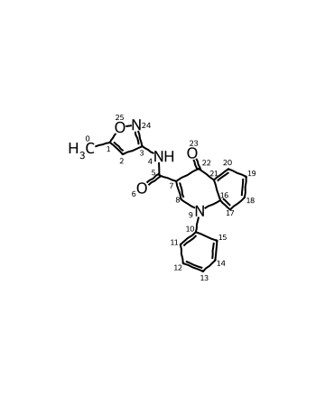 Cc1cc(NC(=O)c2cn(-c3ccccc3)c3ccccc3c2=O)no1